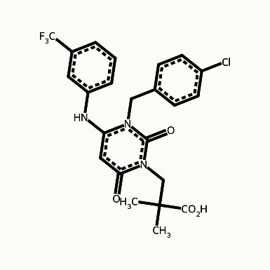 CC(C)(Cn1c(=O)cc(Nc2cccc(C(F)(F)F)c2)n(Cc2ccc(Cl)cc2)c1=O)C(=O)O